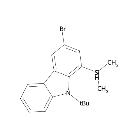 C[SiH](C)c1cc(Br)cc2c3ccccc3n(C(C)(C)C)c12